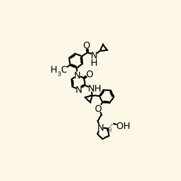 Cc1ccc(C(=O)NC2CC2)cc1-n1ccnc(NC2(c3ccccc3OCCN3CCC[C@H]3CO)CC2)c1=O